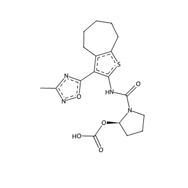 Cc1noc(-c2c(NC(=O)N3CCC[C@H]3OC(=O)O)sc3c2CCCCC3)n1